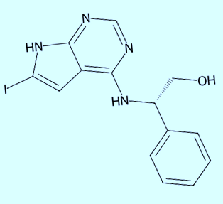 OC[C@@H](Nc1ncnc2[nH]c(I)cc12)c1ccccc1